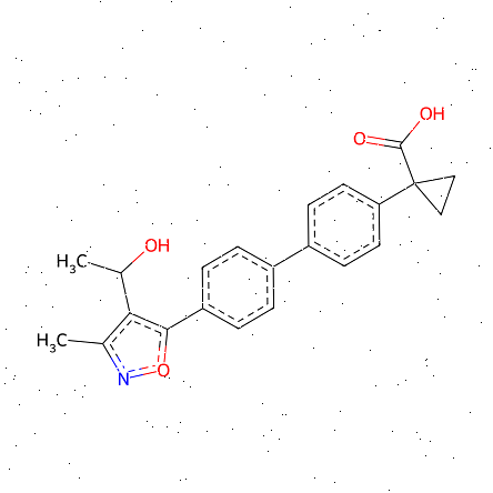 Cc1noc(-c2ccc(-c3ccc(C4(C(=O)O)CC4)cc3)cc2)c1C(C)O